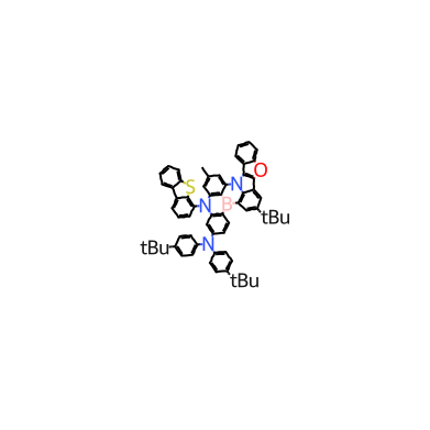 Cc1cc2c3c(c1)-n1c4c(cc(C(C)(C)C)cc4c4oc5ccccc5c41)B3c1ccc(N(c3ccc(C(C)(C)C)cc3)c3ccc(C(C)(C)C)cc3)cc1N2c1cccc2c1sc1ccccc12